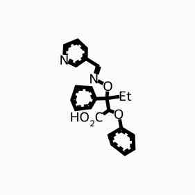 CCC(ON=Cc1cccnc1)(c1ccccc1)C(Oc1ccccc1)C(=O)O